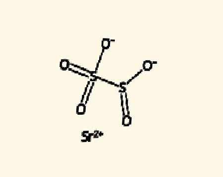 O=S([O-])S(=O)(=O)[O-].[Sr+2]